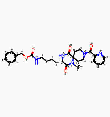 CCCN1C(=O)[C@H](CCCCNC(=O)OCc2ccccc2)NC(=O)C12CCN(C(=O)c1ccccn1)CC2